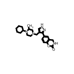 CC1CN(Cc2c[nH]nc2-c2ccc3c(c2)CNC(=O)O3)CCN1C1CCCCC1